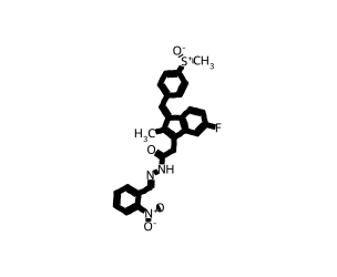 CC1=C(CC(=O)N/N=C/c2ccccc2[N+](=O)[O-])c2cc(F)ccc2/C1=C\c1ccc([S+](C)[O-])cc1